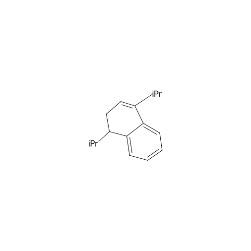 CC(C)C1=CCC(C(C)C)c2ccccc21